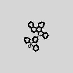 O=P(c1ccccc1)(c1ccccc1)c1ccc(-n2c3ccccc3c3c4ccccc4c4c5ccccc5ccc4c32)cc1